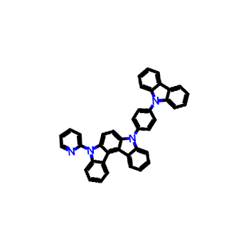 c1ccc(-n2c3ccccc3c3c4c5ccccc5n(-c5ccc(-n6c7ccccc7c7ccccc76)cc5)c4ccc32)nc1